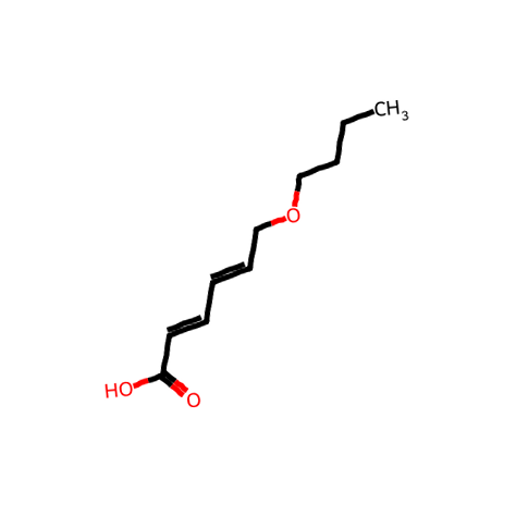 CCCCOC/C=C/C=C/C(=O)O